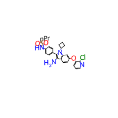 CCCS(=O)(=O)Nc1ccc(-c2c(N)c3ccc(Oc4cccnc4Cl)cc3n2C2CCC2)cc1